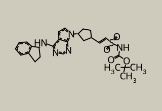 CC(C)(C)OC(=O)NS(=O)(=O)/C=C/C1CC[C@H](n2ccc3c(N[C@H]4CCc5ccccc54)ncnc32)C1